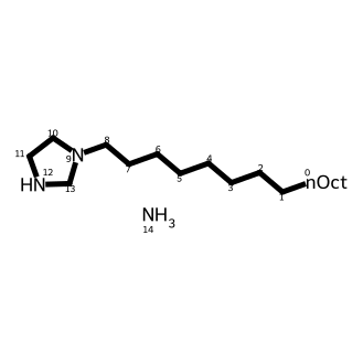 CCCCCCCCCCCCCCCCN1CCNC1.N